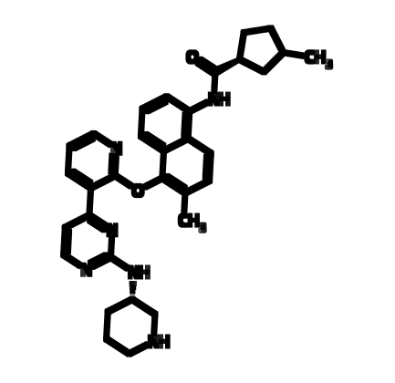 Cc1ccc2c(NC(=O)[C@H]3CCC(C)C3)cccc2c1Oc1ncccc1-c1ccnc(N[C@H]2CCCNC2)n1